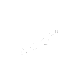 CCN(C)/C=N/c1cc(C)c(Cc2nc(-c3cscn3)cs2)cc1C